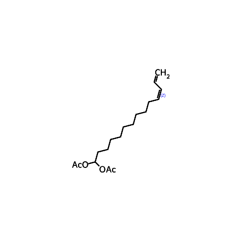 C=C/C=C\CCCCCCCCCC(OC(C)=O)OC(C)=O